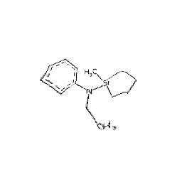 CCN(c1ccccc1)[Si]1(C)CCCC1